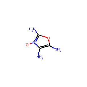 Nc1oc(N)[n+]([O-])c1N